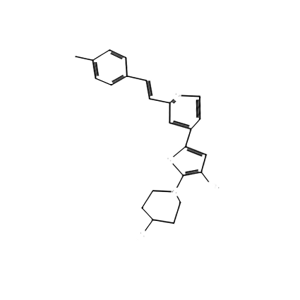 N#Cc1cc(-c2ccnc(/C=C/c3ccc(F)cc3)c2)[nH]c1N1CCC(N)CC1